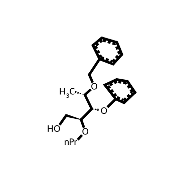 CCCO[C@@H](CO)[C@@H](Oc1ccccc1)[C@H](C)OCc1ccccc1